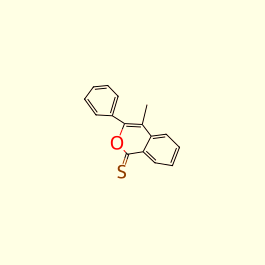 Cc1c(-c2ccccc2)oc(=S)c2ccccc12